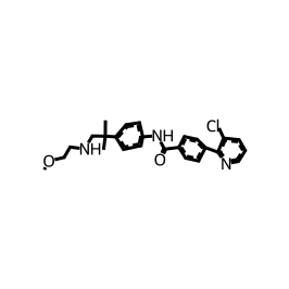 COCCNCC(C)(C)c1ccc(NC(=O)c2ccc(-c3ncccc3Cl)cc2)cc1